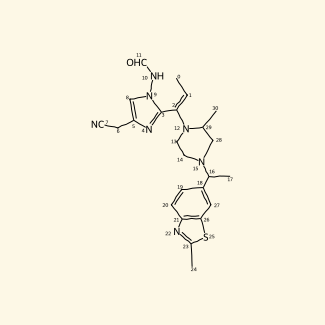 C/C=C(\c1nc(CC#N)cn1NC=O)N1CCN(C(C)c2ccc3nc(C)sc3c2)CC1C